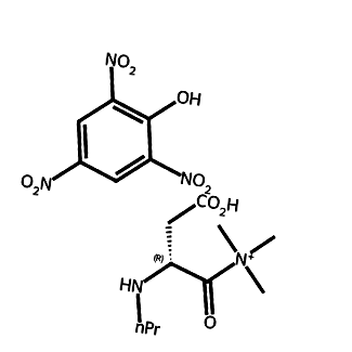 CCCN[C@H](CC(=O)O)C(=O)[N+](C)(C)C.O=[N+]([O-])c1cc([N+](=O)[O-])c(O)c([N+](=O)[O-])c1